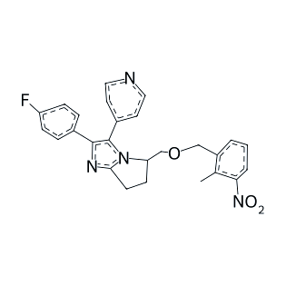 Cc1c(COCC2CCc3nc(-c4ccc(F)cc4)c(-c4ccncc4)n32)cccc1[N+](=O)[O-]